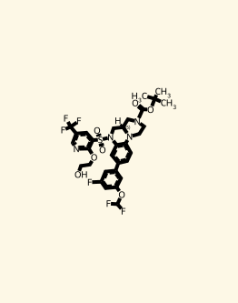 CC(C)(C)OC(=O)N1CCN2c3ccc(-c4cc(F)cc(OC(F)F)c4)cc3N(S(=O)(=O)c3cc(C(F)(F)F)cnc3OCCO)C[C@@H]2C1